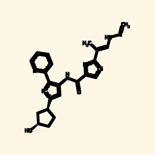 C=NN/C=C(\C)c1nc(C(=O)Nc2cn([C@H]3CC[C@H](O)C3)nc2-c2ccccn2)cs1